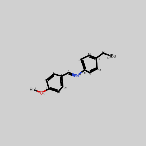 CCOc1ccc(C=Nc2ccc(CC(C)CC)cc2)cc1